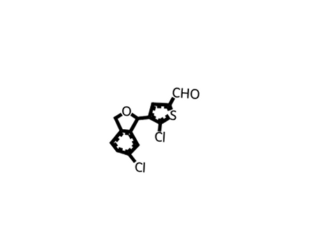 O=Cc1cc(C2OCc3ccc(Cl)cc32)c(Cl)s1